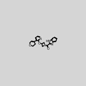 O=C(c1nc2ccccc2[nH]1)N1CC(Oc2ncccc2C2=CCOCC2)C1